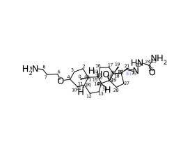 C[C@]12CCC(OCCCN)C[C@H]1CC[C@@H]1[C@@H]2CC[C@]2(C)[C@@H](/C=N/NC(N)=O)CC[C@]12O